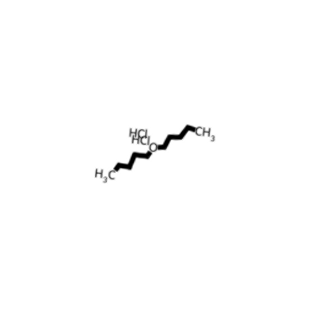 CCCCCOCCCCC.Cl.Cl